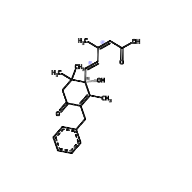 CC1=C(Cc2ccccc2)C(=O)CC(C)(C)[C@@]1(O)/C=C/C(C)=C\C(=O)O